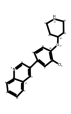 Clc1cc(-c2cnc3ccccc3c2)ccc1OC1CCNCC1